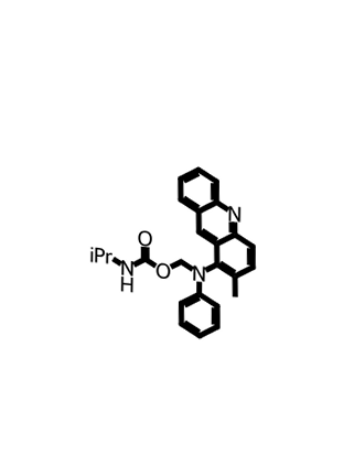 Cc1ccc2nc3ccccc3cc2c1N(COC(=O)NC(C)C)c1ccccc1